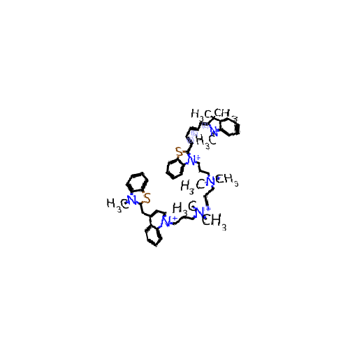 CN1\C(=C/C=C/C=C/c2sc3ccccc3[n+]2CCC[N+](C)(C)CCC[N+](C)(C)CCC[n+]2ccc(CC3Sc4ccccc4N3C)c3ccccc32)C(C)(C)c2ccccc21